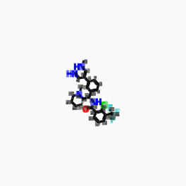 CN/C=C(\C=N)c1cccc([C@H](NC(=O)c2cccc(C(F)(F)F)c2Cl)[C@@H]2CCCCN2C)c1